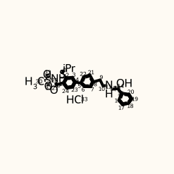 CC(C)Sc1cc(-c2ccc(CCNC[C@H](O)c3ccccc3)cc2)ccc1C(=O)NS(C)(=O)=O.Cl